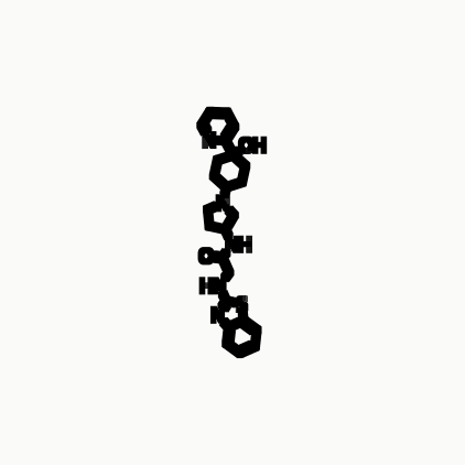 O=C(CNc1nc2ccccc2s1)NC1CCN(C2CCC(O)(c3ccccn3)CC2)C1